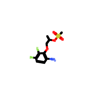 CC(COc1c(N)ccc(F)c1F)OS(C)(=O)=O